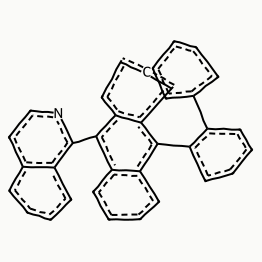 c1ccc(-c2ccccc2-c2c3ccccc3c(-c3nccc4ccccc34)c3ccccc23)cc1